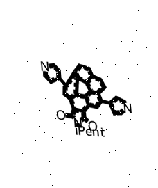 CCCC(C)n1c(=O)c2c3cc(-c4ccncc4)c4ccc5ccc6c(-c7ccncc7)cc(c2c1=O)c1c6c5c4c31